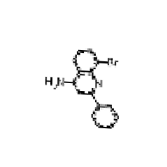 Nc1cc(-c2ccccc2)nc2c(Br)cccc12